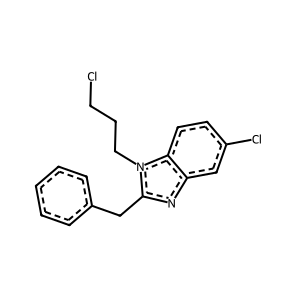 ClCCCn1c(Cc2ccccc2)nc2cc(Cl)ccc21